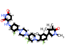 COc1cc(-c2cn(C)c(=O)c(C)c2C)cc(F)c1CN1CCC(N2CCN(c3ccc(NC4CCC(=O)NC4=O)cc3F)CC2)C(F)(F)C1